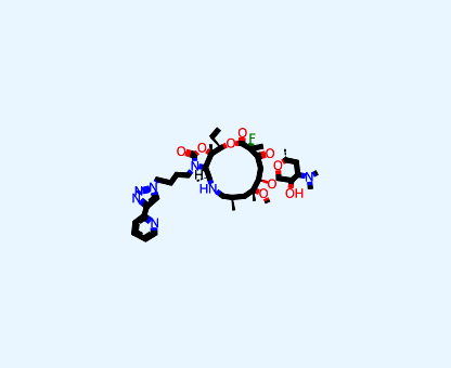 CC[C@H]1OC(=O)C(C)(F)C(=O)C[C@@H](O[C@@H]2O[C@H](C)CC(N(C)C)C2O)[C@](C)(OC)C[C@@H](C)CN[C@H](C)[C@H]2N(CCCCn3cc(-c4ccccn4)nn3)C(=O)O[C@]12C